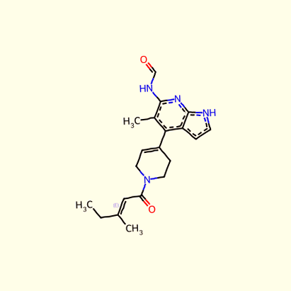 CC/C(C)=C/C(=O)N1CC=C(c2c(C)c(NC=O)nc3[nH]ccc23)CC1